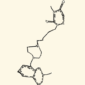 Cc1ccc2cccc(N3CCN(CCCCn4ncc(=O)n(C)c4=O)CC3)c2c1